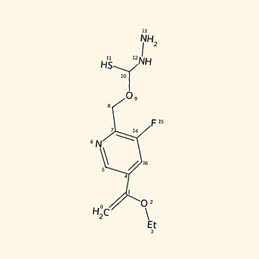 C=C(OCC)c1cnc(COC(S)NN)c(F)c1